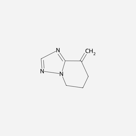 C=C1CCCn2ncnc21